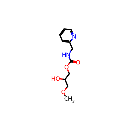 COCC(O)COC(=O)NCc1ccccn1